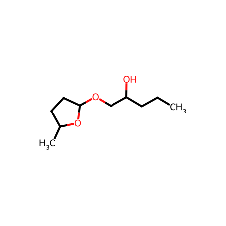 CCCC(O)COC1CCC(C)O1